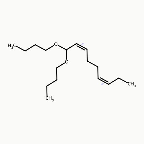 CC/C=C\CC/C=C\C(OCCCC)OCCCC